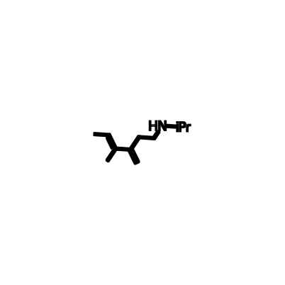 C=C(CCNC(C)C)/C(C)=C/C